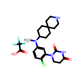 CN(c1ccc(Cl)c(N2CCC(=O)NC2=O)c1)C1CCC2(CCNCC2)CC1.O=C(O)C(F)(F)F